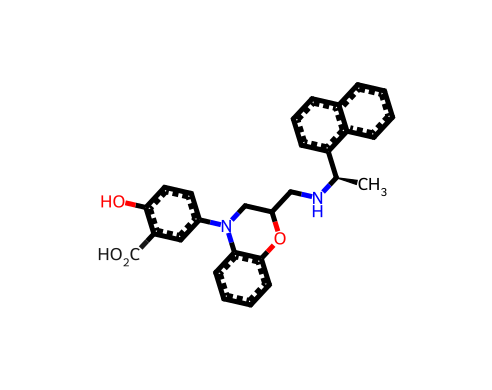 C[C@@H](NCC1CN(c2ccc(O)c(C(=O)O)c2)c2ccccc2O1)c1cccc2ccccc12